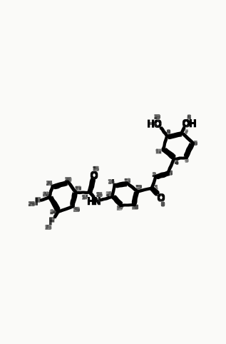 O=C(C=Cc1ccc(O)c(O)c1)c1ccc(NC(=O)c2ccc(F)c(F)c2)cc1